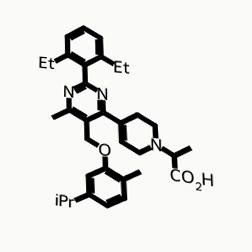 CCc1cccc(CC)c1-c1nc(C)c(COc2cc(C(C)C)ccc2C)c(C2=CCN(C(C)C(=O)O)CC2)n1